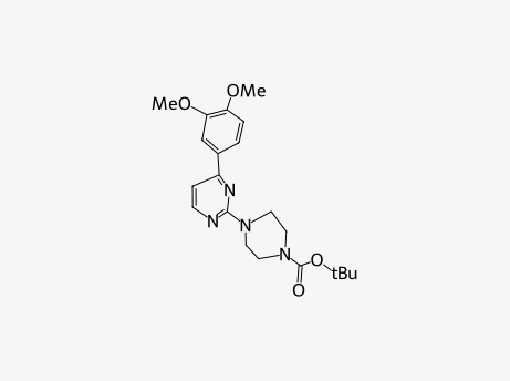 COc1ccc(-c2ccnc(N3CCN(C(=O)OC(C)(C)C)CC3)n2)cc1OC